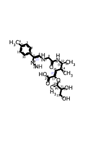 Cc1ccc(/C(=C/NCC(=O)N[C@@H](C)C(C)/C=C(\O[C@H](C)C(O)CO)C(=O)O)N=N)cc1